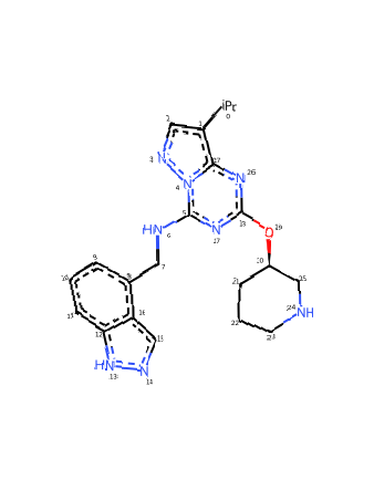 CC(C)c1cnn2c(NCc3cccc4[nH]ncc34)nc(O[C@@H]3CCCNC3)nc12